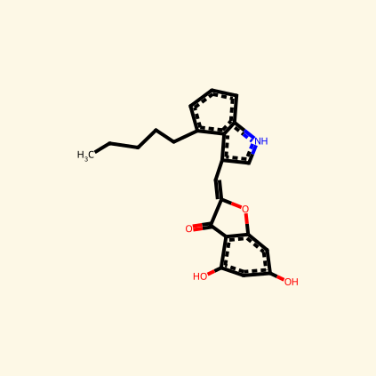 CCCCCc1cccc2[nH]cc(/C=C3\Oc4cc(O)cc(O)c4C3=O)c12